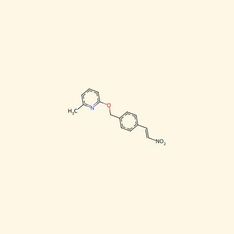 Cc1cccc(OCc2ccc(C=C[N+](=O)[O-])cc2)n1